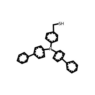 SCc1ccc(N(c2ccc(-c3ccccc3)cc2)c2ccc(-c3ccccc3)cc2)cc1